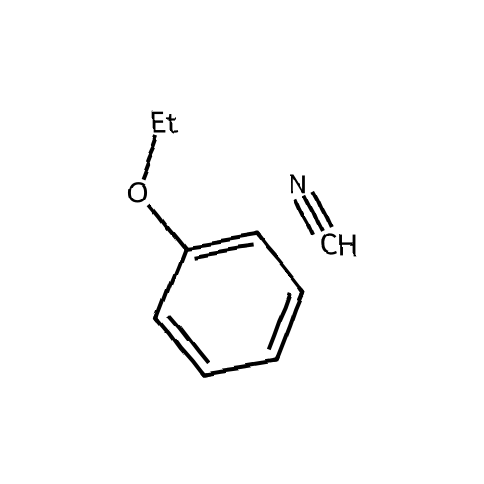 C#N.CCOc1ccccc1